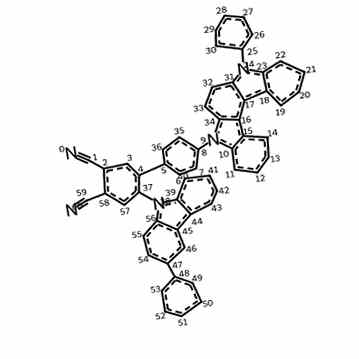 N#Cc1cc(-c2ccc(-n3c4ccccc4c4c5c6ccccc6n(-c6ccccc6)c5ccc43)cc2)c(-n2c3ccccc3c3cc(-c4ccccc4)ccc32)cc1C#N